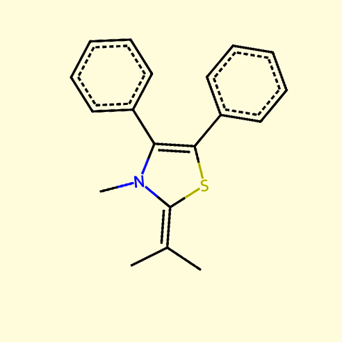 CC(C)=C1SC(c2ccccc2)=C(c2ccccc2)N1C